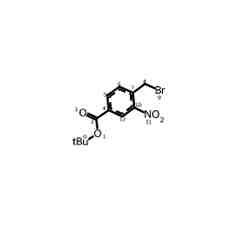 CC(C)(C)OC(=O)c1ccc(CBr)c([N+](=O)[O-])c1